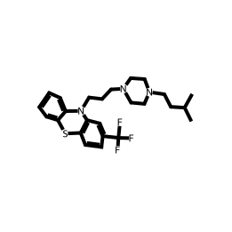 CC(C)CCN1CCN(CCCN2c3ccccc3Sc3ccc(C(F)(F)F)cc32)CC1